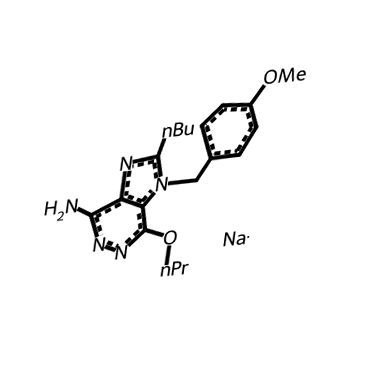 CCCCc1nc2c(N)nnc(OCCC)c2n1Cc1ccc(OC)cc1.[Na]